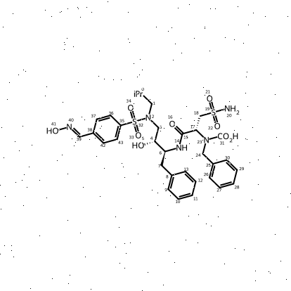 CC(C)CN(C[C@@H](O)[C@H](Cc1ccccc1)NC(=O)[C@H](CS(N)(=O)=O)N(Cc1ccccc1)C(=O)O)S(=O)(=O)c1ccc(/C=N/O)cc1